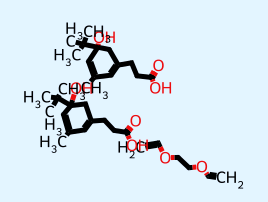 C=COCCOC=C.CC1=CC(O)(C(C)(C)C)CC(CCC(=O)O)=C1.CC1=CC(O)(C(C)(C)C)CC(CCC(=O)O)=C1